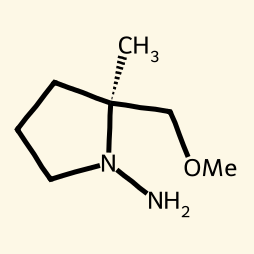 COC[C@]1(C)CCCN1N